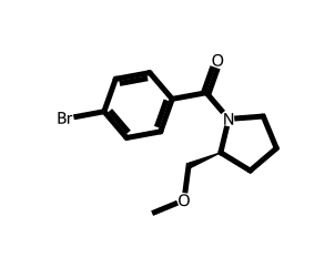 COC[C@@H]1CCCN1C(=O)c1ccc(Br)cc1